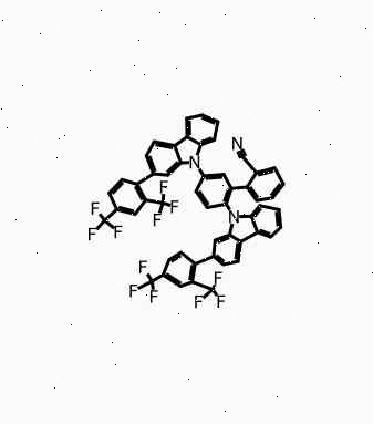 N#Cc1ccccc1-c1cc(-n2c3ccccc3c3ccc(-c4ccc(C(F)(F)F)cc4C(F)(F)F)cc32)ccc1-n1c2ccccc2c2ccc(-c3ccc(C(F)(F)F)cc3C(F)(F)F)cc21